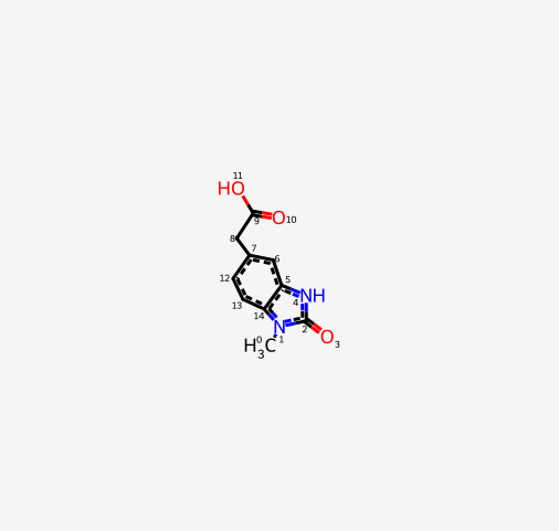 Cn1c(=O)[nH]c2cc(CC(=O)O)ccc21